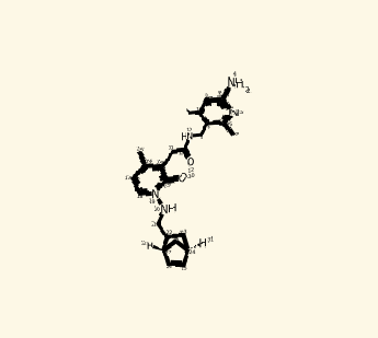 Cc1cc(N)nc(C)c1CNC(=O)Cc1c(C)ccn(NCC2C[C@H]3C=C[C@H]2C3)c1=O